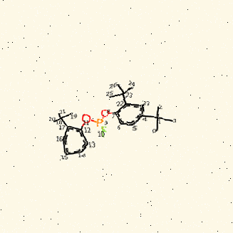 CC(C)(C)c1ccc(OP(F)Oc2ccccc2C(C)(C)C)c(C(C)(C)C)c1